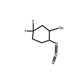 [N-]=[N+]=NC1CCC(F)(F)CC1O